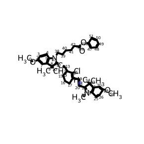 COc1ccc2c(c1)C(C)(C)C(=C=CC1CCCC(/C=C/C3=[N+](C)c4ccc(OC)cc4C3(C)C)=C1Cl)N2CCCCCC(=O)Oc1ccccc1